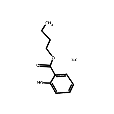 CCCCOC(=O)c1ccccc1O.[Sn]